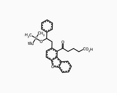 CC(C)(C)[Si](C)(C)OC(Cc1ccc2oc3ccccc3c2c1C(=O)CCCC(=O)O)c1ccccc1